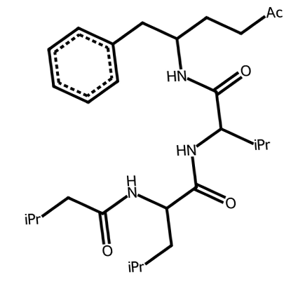 CC(=O)CCC(Cc1ccccc1)NC(=O)C(NC(=O)C(CC(C)C)NC(=O)CC(C)C)C(C)C